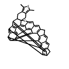 Cc1sc(C)c2c1CC1c3cc4c5c6c(cc7cc8c9c%10c(cc%11cc%12c%13c(c%14c3c5c3c%14c5c%13c%11c%10c5c5c9c7c6c35)C1(C2)C%12)C8)C4